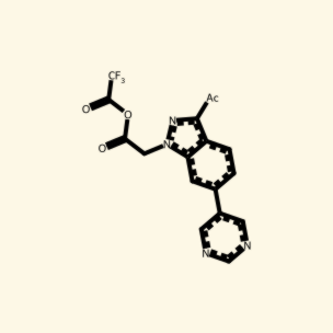 CC(=O)c1nn(CC(=O)OC(=O)C(F)(F)F)c2cc(-c3cncnc3)ccc12